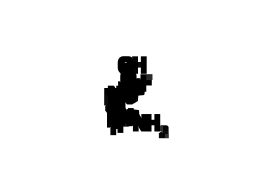 NC1CCN([C@H](c2ccc3nnc(-c4ccc5cc(F)cc(OCCO)c5n4)n3c2)C(F)(F)F)C1